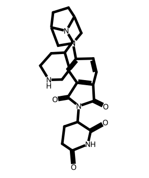 O=C1CCC(N2C(=O)c3ccc(N4CC5CCC(C4)N5CC4CCNCC4)cc3C2=O)C(=O)N1